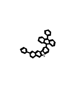 c1ccc(-c2ccc3cc4sc5ccc(-c6c7ccccc7c(-c7ccccc7)c7ccccc67)cc5c4cc3c2)cc1